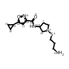 NCCCSN1CCC(NC(=O)c2cc(C3CC3)on2)C1